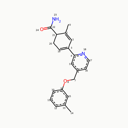 CC1=CC(c2cc(COc3cccc(C)c3)ccn2)=CCC1C(N)=O